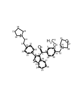 COc1cc(C(=O)c2c(-c3ccc(CCN4CCCC4)cc3)sc3ccccc23)ccc1CN1CCOCC1